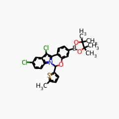 Cc1ccc(C2Oc3cc(B4OC(C)(C)C(C)(C)O4)ccc3-c3c(Cl)c4cc(Cl)ccc4n32)s1